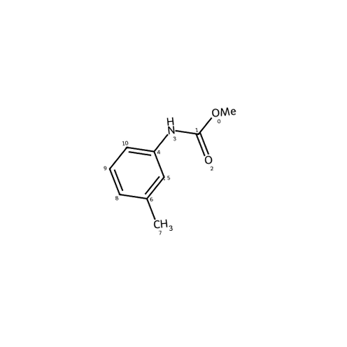 COC(=O)Nc1[c]c(C)ccc1